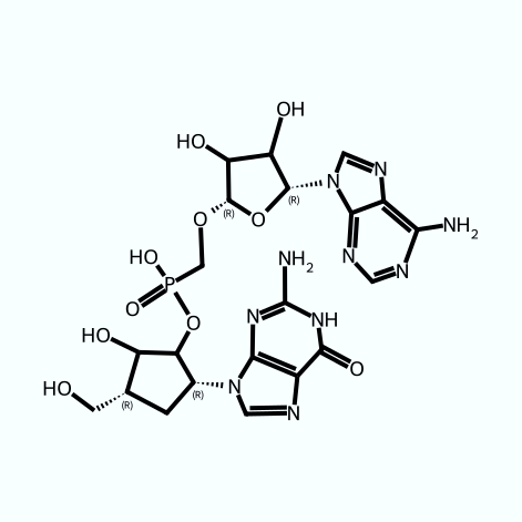 Nc1nc2c(ncn2[C@@H]2C[C@H](CO)C(O)C2OP(=O)(O)CO[C@H]2O[C@@H](n3cnc4c(N)ncnc43)C(O)C2O)c(=O)[nH]1